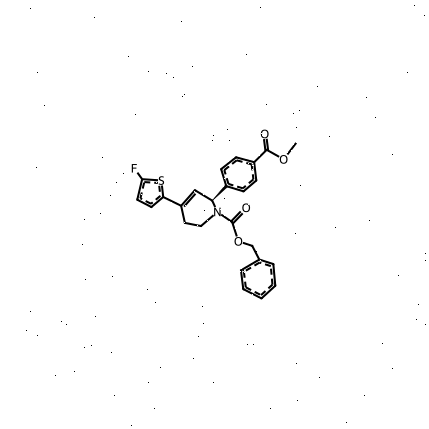 COC(=O)c1ccc([C@@H]2C=C(c3ccc(F)s3)CCN2C(=O)OCc2ccccc2)cc1